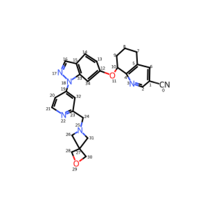 N#Cc1cnc2c(c1)CCCC2Oc1ccc2cnn(-c3ccnc(CN4CC5(COC5)C4)c3)c2c1